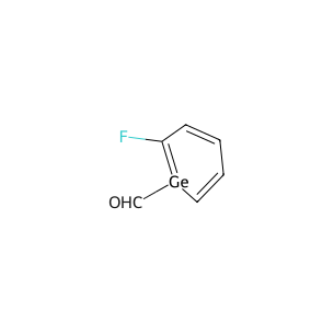 O=[CH][Ge]1=[C](F)C=CC=[CH]1